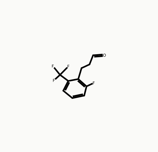 O=CCCc1c(F)cccc1C(F)(F)F